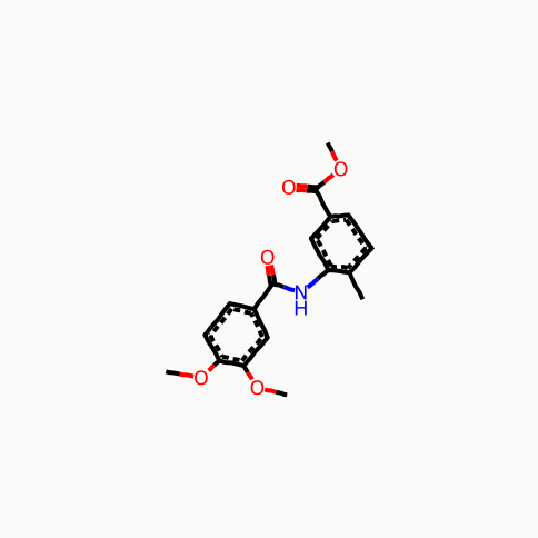 COC(=O)c1ccc(C)c(NC(=O)c2ccc(OC)c(OC)c2)c1